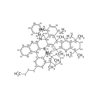 CCCCc1cc2c3c(c1)C1(C)CCCCC1(C)N3B1C3=C4C(C)(C)c5cc6c(cc5C4(C)C4=C5C(C)(C=CC4C)c4ccccc4N(c4cc7ccccc7c-2c41)C35C)C(C)(C)CCC6(C)C